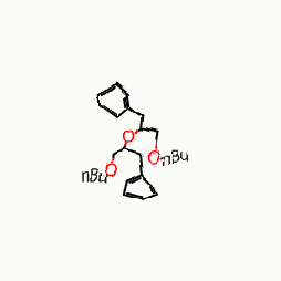 CCCCOCC(Cc1ccccc1)OC(COCCCC)Cc1ccccc1